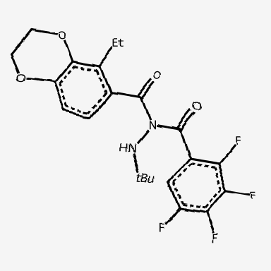 CCc1c(C(=O)N(NC(C)(C)C)C(=O)c2cc(F)c(F)c(F)c2F)ccc2c1OCCO2